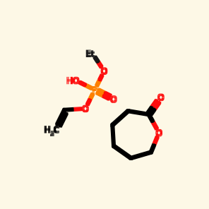 C=COP(=O)(O)OCC.O=C1CCCCCO1